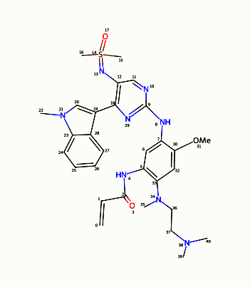 C=CC(=O)Nc1cc(Nc2ncc(N=S(C)(C)=O)c(-c3cn(C)c4ccccc34)n2)c(OC)cc1N(C)CCN(C)C